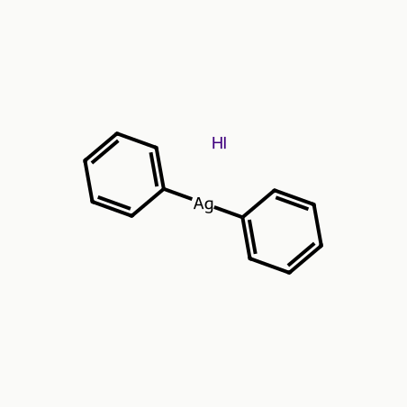 I.c1cc[c]([Ag][c]2ccccc2)cc1